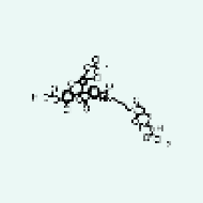 CC(=O)NC(F)SC1CC(=O)N(CCCCNC(=O)c2ccc3c(c2)C(=O)OC32c3cc(Cl)c(OC(C)=O)cc3Oc3cc(OC(C)=O)c(Cl)cc32)C1=O